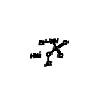 CCNS(=O)(=O)OCC.[NaH]